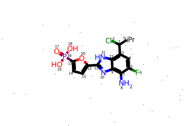 CC(C)C(Cl)c1cc(F)c(N)c2nc(-c3ccc(P(=O)(O)O)o3)[nH]c12